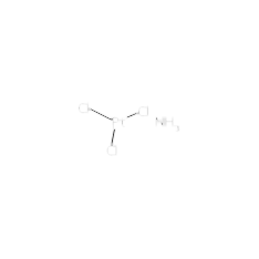 N.[Cl][Pt]([Cl])[Cl]